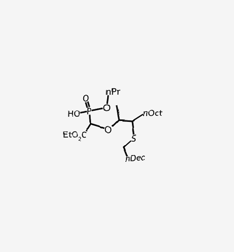 CCCCCCCCCCCSC(CCCCCCCC)C(C)OC(C(=O)OCC)P(=O)(O)OCCC